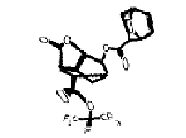 O=C(OC1C2CC3C1OC(=O)C3C2C(=O)OC(F)(C(F)(F)F)C(F)(F)F)C1CC2C=CC1O2